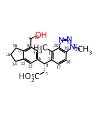 Cc1c([C@H](CC(=O)O)c2cc(CO)c3c(c2)CCC3)ccc2c1nnn2C